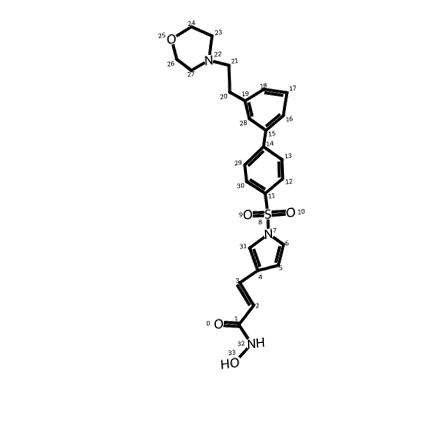 O=C(/C=C/c1ccn(S(=O)(=O)c2ccc(-c3cccc(CCN4CCOCC4)c3)cc2)c1)NO